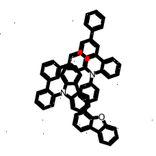 c1ccc(-c2cccc(-c3ccccc3N(c3ccc(-c4cccc5c4oc4ccccc45)cc3)c3cccc(-c4cccc(-c5ccccc5-n5c6ccccc6c6ccccc65)c4)c3)c2)cc1